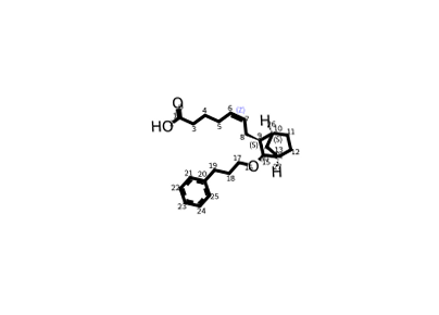 O=C(O)CCC/C=C\C[C@H]1[C@H]2CC[C@H](C2)[C@H]1OCCCc1ccccc1